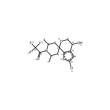 CC1CC2(CC(C)N1C(=O)C(F)(F)F)OCC(O)c1cc(Cl)sc12